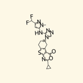 Cn1nc(C(F)F)cc1Nc1nncn1[C@H]1CCc2sc3nc(C4CC4)oc(=O)c3c2C1